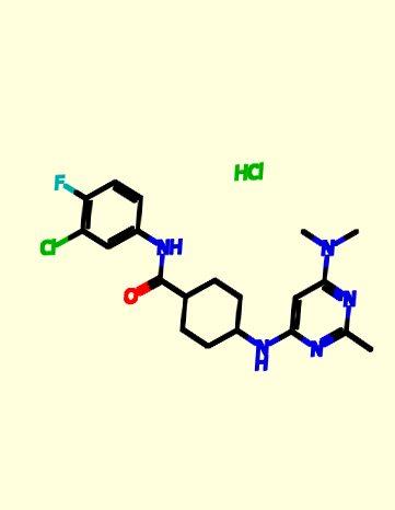 Cc1nc(NC2CCC(C(=O)Nc3ccc(F)c(Cl)c3)CC2)cc(N(C)C)n1.Cl